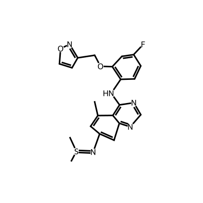 Cc1cc(N=S(C)C)cc2ncnc(Nc3ccc(F)cc3OCc3ccon3)c12